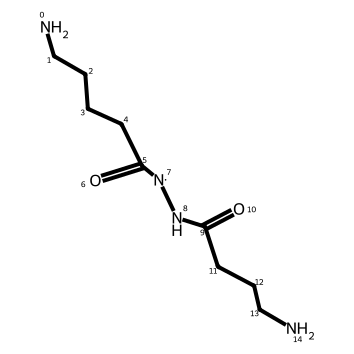 NCCCCC(=O)[N]NC(=O)CCCN